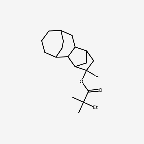 CCC(C)(C)C(=O)OC1(CC)CC2CC1C1C3CCCC(CC3)CC21